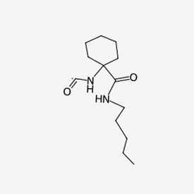 CCCCCNC(=O)C1(N[C]=O)CCCCC1